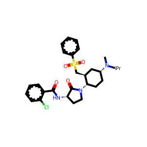 CC(C)N(C)[C@@H]1CC[C@H](N2CC[C@H](NC(=O)c3ccccc3Cl)C2=O)[C@@H](CS(=O)(=O)c2ccccc2)C1